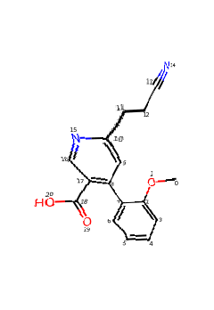 COc1ccccc1-c1cc(CCC#N)ncc1C(=O)O